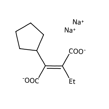 CCC(C(=O)[O-])=C(C(=O)[O-])C1CCCC1.[Na+].[Na+]